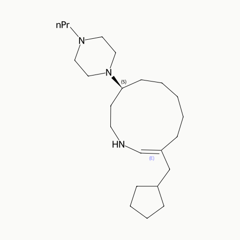 CCCN1CCN([C@H]2CCCCC/C(CC3CCCC3)=C\NCC2)CC1